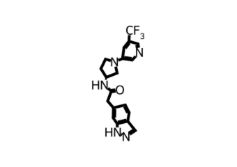 O=C(Cc1ccc2cn[nH]c2c1)N[C@@H]1CCN(c2cncc(C(F)(F)F)c2)C1